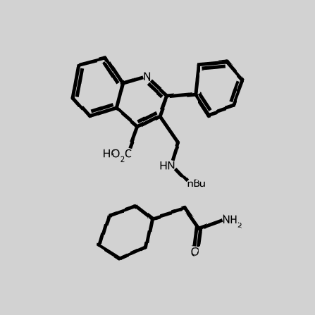 CCCCNCc1c(-c2ccccc2)nc2ccccc2c1C(=O)O.NC(=O)CC1CCCCC1